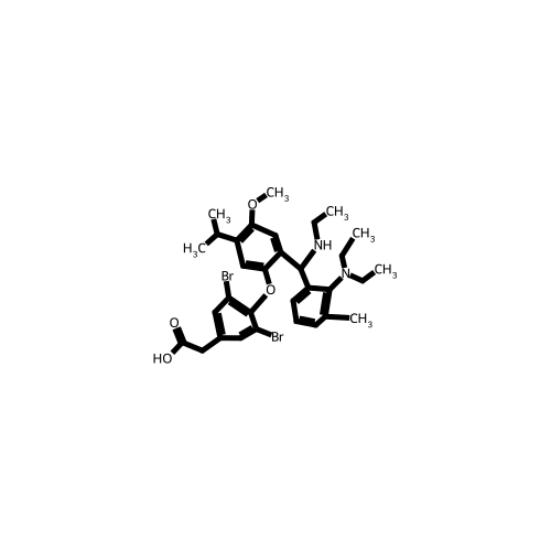 CCNC(c1cc(OC)c(C(C)C)cc1Oc1c(Br)cc(CC(=O)O)cc1Br)c1cccc(C)c1N(CC)CC